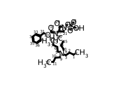 CCCC[N+](CCCC)(CCCC)CCCC.O=C(NC1CN(OS(=O)(=O)O)C1=O)OCc1ccccc1